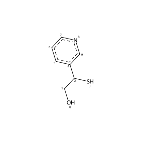 OCC(S)c1cccnc1